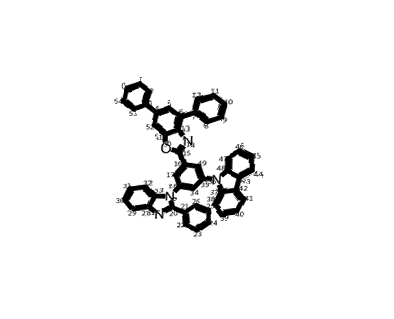 c1ccc(-c2cc(-c3ccccc3)c3nc(-c4cc(-n5c(-c6ccccc6)nc6ccccc65)cc(-n5c6ccccc6c6ccccc65)c4)oc3c2)cc1